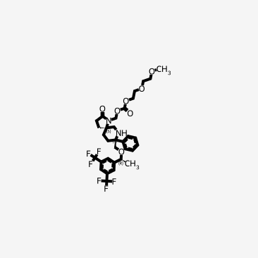 COCCOCCOC(=O)OCN1C(=O)CC[C@]12CC[C@@](CO[C@H](C)c1cc(C(F)(F)F)cc(C(F)(F)F)c1)(c1ccccc1)NC2